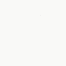 CC(=Cc1ccc2[nH]cc(C=Cc3ccccc3)c2c1)C(=O)O